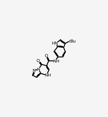 CC(C)(C)c1c[nH]c2cc(NC(=O)c3c[nH]c4ccnn4c3=O)ccc12